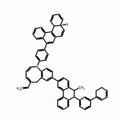 C=C/C1=C/C=C\N(c2ccc(-c3cc4c(c5ccccc35)C3C=CC=C[C@@H]3C=C4)cc2)c2ccc(-c3ccc4c(c3)-c3ccccc3C(c3cccc(C5=CC=CCC5)c3)C4C)cc2C1